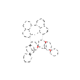 c1ccc(-c2cc(-c3ccccc3)cc(-c3ccc4cccc5c6cccc7ccc(-c8cc(-c9ccccc9)cc(-c9ccccc9)c8)c(oc3c45)c76)c2)cc1